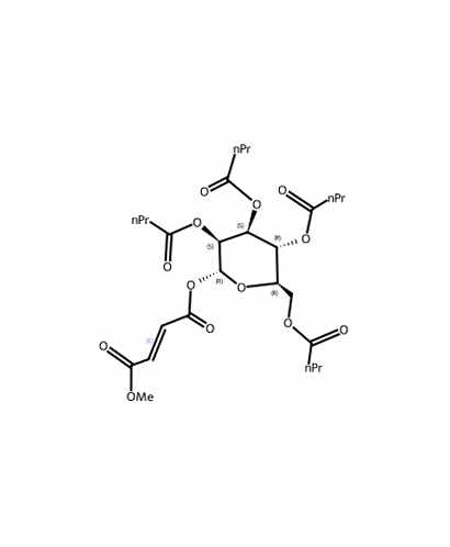 CCCC(=O)OC[C@H]1O[C@H](OC(=O)/C=C/C(=O)OC)[C@@H](OC(=O)CCC)[C@@H](OC(=O)CCC)[C@@H]1OC(=O)CCC